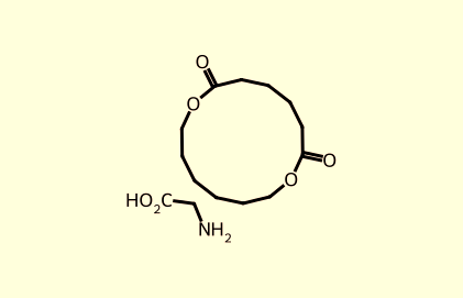 NCC(=O)O.O=C1CCCCC(=O)OCCCCCCO1